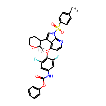 Cc1ccc(S(=O)(=O)n2cc(C3CCCOC3C)c3c(Oc4c(F)cc(NC(=O)Oc5ccccc5)cc4F)ccnc32)cc1